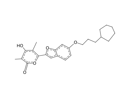 Cc1c(-c2cc3ccc(OCCCC4CCCCC4)cc3o2)oc(=O)c(C)c1O